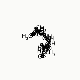 Cc1csc2c(OC(=O)N3CCN(C)CC3)cc3c(c12)[C@H](CCl)CN3C(=O)c1cc2cc(NC(=O)c3cc4cc(NC(=O)CNC(=O)[C@H](CC(C)C)NC(=O)[C@H](Cc5ccccc5)NC(=O)CCCCCN5C(=O)C=CC5=O)ccc4[nH]3)ccc2[nH]1